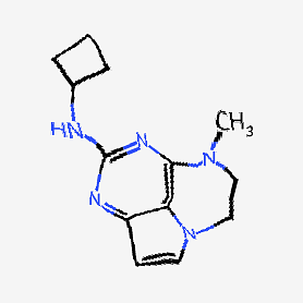 CN1CCn2ccc3nc(NC4CCC4)nc1c32